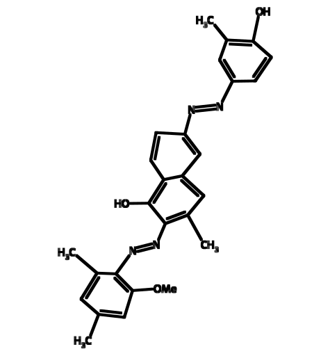 COc1cc(C)cc(C)c1N=Nc1c(C)cc2cc(N=Nc3ccc(O)c(C)c3)ccc2c1O